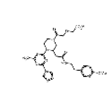 COc1ccc(CCNC(=O)CC2CN(C(=O)COCC(=O)O)CCN2c2cc(C)nc(-n3ccnc3)n2)cc1